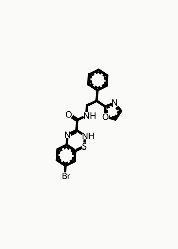 O=C(NCC(c1ccccc1)c1ncco1)C1=Nc2ccc(Br)cc2SN1